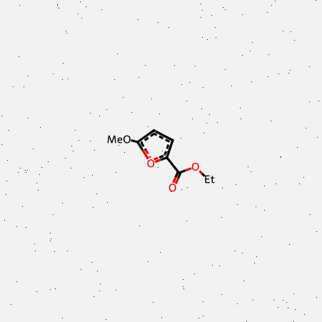 CCOC(=O)c1ccc(OC)o1